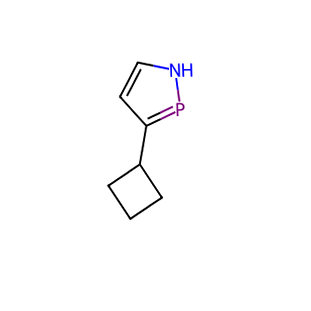 c1cc(C2CCC2)p[nH]1